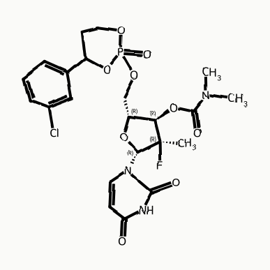 CN(C)C(=O)O[C@@H]1[C@@H](COP2(=O)OCCC(c3cccc(Cl)c3)O2)O[C@@H](n2ccc(=O)[nH]c2=O)[C@]1(C)F